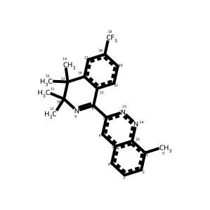 Cc1cccc2cc(C3=NC(C)(C)C(C)(C)c4cc(C(F)(F)F)ccc43)nnc12